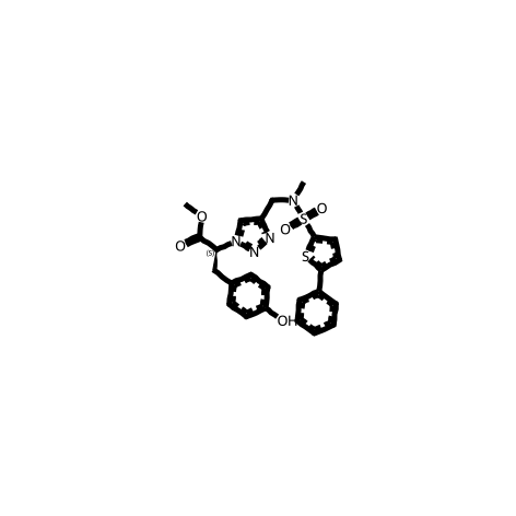 COC(=O)[C@H](Cc1ccc(O)cc1)n1cc(CN(C)S(=O)(=O)c2ccc(-c3ccccc3)s2)nn1